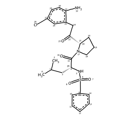 CC(C)C[C@@H](NS(=O)(=O)c1ccccc1)C(=O)N1CCC[C@H]1C(=O)[CH]c1cc(Cl)ccc1N